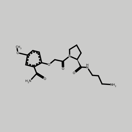 COc1ccc(OCC(=O)N2CCC[C@H]2C(=O)NCCCN)c(C(N)=O)c1